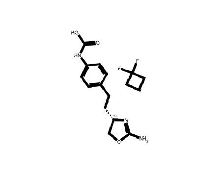 FC1(F)CCC1.NC1=N[C@@H](CCc2ccc(NC(=O)O)cc2)CO1